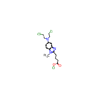 Cn1c(CCCC(=O)OCl)nc2cc(N(CCCl)CCCl)ccc21